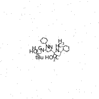 Cc1ccccc1C(CC(=O)O)NC(=O)c1cc(N(C)C[C@@H](O)C(C)(C)C)n(-c2ccccc2)n1